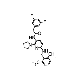 Cc1cccc(C)c1CNc1ccc(NC(=O)Cc2cc(F)cc(F)c2)c(N2CCCC2)n1